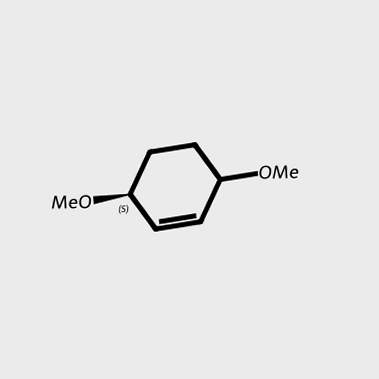 COC1C=C[C@@H](OC)CC1